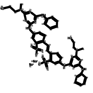 CN(CCO)c1nc(Nc2ccccc2)nc(Nc2ccc(C=Cc3ccc(Nc4nc(Nc5ccccc5)nc(N(C)CCO)n4)cc3S(=O)(=O)[O-])c(S(=O)(=O)[O-])c2)n1.[Na+].[Na+]